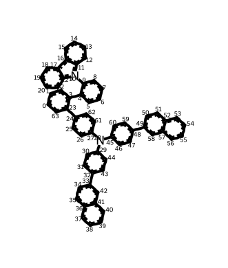 c1ccc(-c2ccccc2-n2c3ccccc3c3ccccc32)c(-c2ccc(N(c3ccc(-c4ccc5ccccc5c4)cc3)c3ccc(-c4ccc5ccccc5c4)cc3)cc2)c1